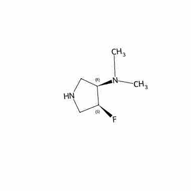 CN(C)[C@@H]1CNC[C@@H]1F